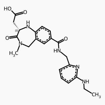 CCNc1cccc(CNC(=O)c2ccc3c(c2)CN(C)C(=O)[C@H](CC(=O)O)N3)n1